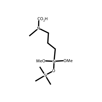 CO[Si](CCCN(C)C(=O)O)(OC)O[Si](C)(C)C